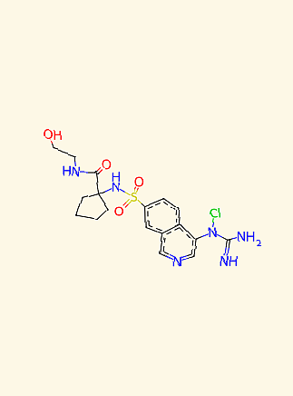 N=C(N)N(Cl)c1cncc2cc(S(=O)(=O)NC3(C(=O)NCCO)CCCC3)ccc12